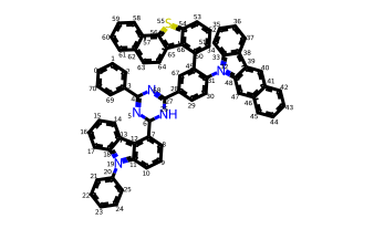 c1ccc(C2=NC(c3cccc4c3c3ccccc3n4-c3ccccc3)NC(c3ccc(-n4c5ccccc5c5cc6ccccc6cc54)c(-c4cccc5sc6c7ccccc7ccc6c45)c3)=N2)cc1